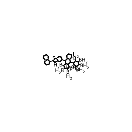 Bc1c(B)c(B)c(-c2c3ccccc3c(-c3ccc4sc(-c5cccc6ccccc56)cc4c3)c3c(B)c(B)c(B)c(B)c23)c(B)c1B